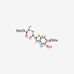 COC(=O)C(C)CC(=O)c1cc2c(F)c(O)c(OC)cc2s1